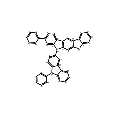 c1ccc(-c2ccc3c4cc5c(cc4n(-c4ccc6c(c4)c4ccccc4n6-c4ccccc4)c3c2)oc2ccccc25)cc1